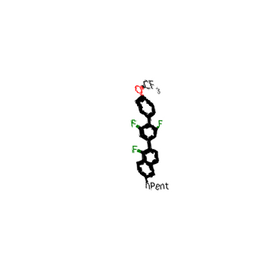 CCCCCc1ccc2c(F)c(-c3cc(F)c(-c4ccc(OC(F)(F)F)cc4)c(F)c3)ccc2c1